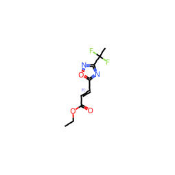 CCOC(=O)/C=C/c1nc(C(C)(F)F)no1